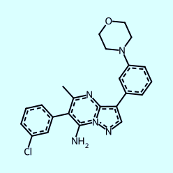 Cc1nc2c(-c3cccc(N4CCOCC4)c3)cnn2c(N)c1-c1cccc(Cl)c1